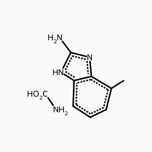 Cc1cccc2[nH]c(N)nc12.NC(=O)O